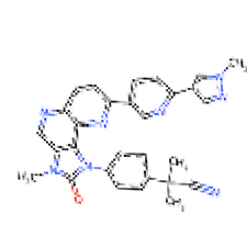 Cn1cc(-c2ccc(-c3ccc4ncc5c(c4n3)n(-c3ccc(C(C)(C)C#N)cc3)c(=O)n5C)cn2)cn1